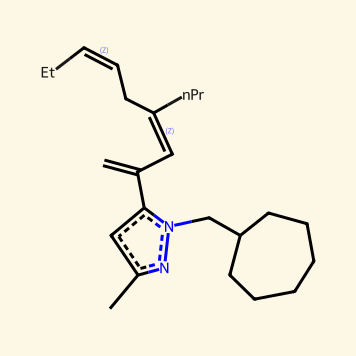 C=C(/C=C(\C/C=C\CC)CCC)c1cc(C)nn1CC1CCCCCC1